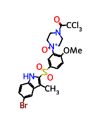 COc1ccc(S(=O)(=O)c2[nH]c3ccc(Br)cc3c2C)cc1[N+]1([O-])CCN(C(=O)C(Cl)(Cl)Cl)CC1